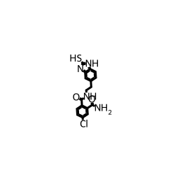 NC(=O)c1cc(Cl)ccc1C(=O)NCCc1ccc2[nH]c(S)nc2c1